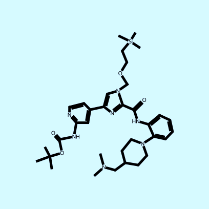 CN(C)CC1CCN(c2ccccc2NC(=O)c2nc(-c3ccnc(NC(=O)OC(C)(C)C)c3)cn2COCC[Si](C)(C)C)CC1